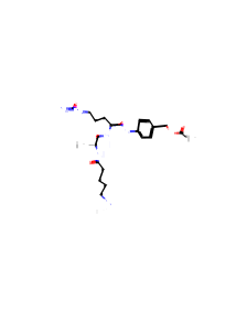 CC(C)NCCCCC(=O)N[C@H](C(=O)NC(CCCNC(N)=O)C(=O)Nc1ccc(COC(=O)C(C)C)cc1)C(C)C